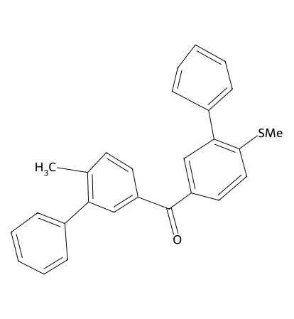 CSc1ccc(C(=O)c2ccc(C)c(-c3ccccc3)c2)cc1-c1ccccc1